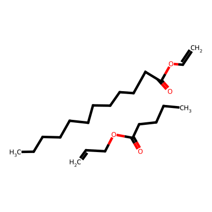 C=CCOC(=O)CCCC.C=COC(=O)CCCCCCCCCCC